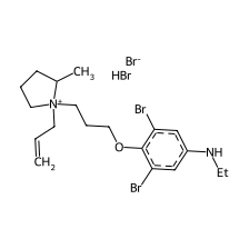 Br.C=CC[N+]1(CCCOc2c(Br)cc(NCC)cc2Br)CCCC1C.[Br-]